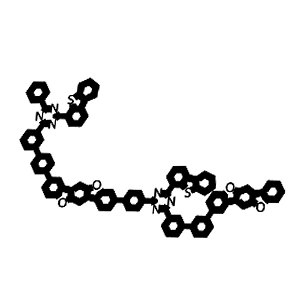 c1ccc(-c2nc(-c3cccc(-c4ccc(-c5ccc6oc7cc8c(cc7c6c5)oc5cc(-c6ccc(-c7nc(-c9cccc(-c%10cccc(-c%11ccc%12oc%13cc%14c(cc%13c%12c%11)oc%11ccccc%11%14)c%10)c9)nc(-c9cccc%10c9sc9ccccc9%10)n7)cc6)ccc58)cc4)c3)nc(-c3cccc4c3sc3ccccc34)n2)cc1